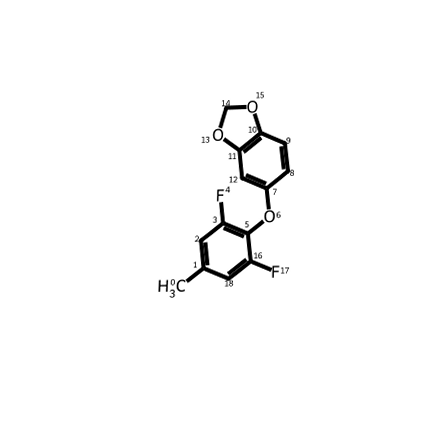 Cc1cc(F)c(Oc2ccc3c(c2)OCO3)c(F)c1